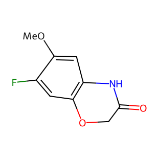 COc1cc2c(cc1F)OCC(=O)N2